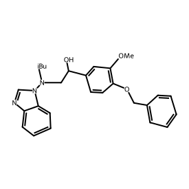 CCC(C)N(CC(O)c1ccc(OCc2ccccc2)c(OC)c1)n1cnc2ccccc21